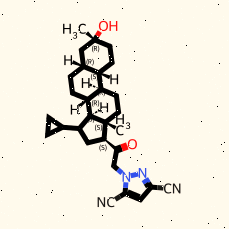 C[C@@]1(O)CC[C@H]2[C@H](CC[C@@H]3[C@@H]2CC[C@]2(C)[C@@H](C(=O)Cn4nc(C#N)cc4C#N)CC(C4CC4)[C@@H]32)C1